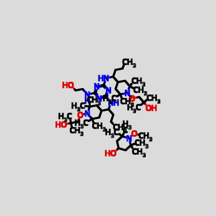 CCCC(Nc1nc(NCCO)nc(NC(CCC)C2CC(C)(C)N(OCC(C)(C)O)C(C)(C)C2)n1)C1CC(C)(C)N(OCC(C)(C)O)C(C)(C)C1.CON1C(C)(C)CC(O)CC1(C)C